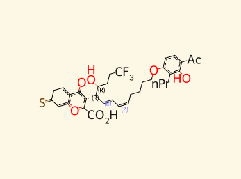 CCCc1c(OCCCC/C=C\C=C\[C@H](c2c(C(=O)O)oc3c(c2=O)=CCC(=S)C=3)[C@H](O)CCC(F)(F)F)ccc(C(C)=O)c1O